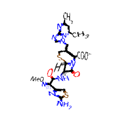 CO/N=C(\C(=O)N[C@@H]1C(=O)N2C(C(=O)[O-])=C(Cn3cnc4nc(C)cc(C)[n+]43)CS[C@H]12)c1csc(N)n1